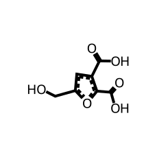 O=C(O)c1cc(CO)oc1C(=O)O